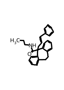 CCCNC(=O)C1(C/C=C/c2ccccc2)c2ccccc2CCc2ccccc21